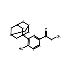 CCC(=O)c1ccc(O)c(C23CC4CC(CC(C4)C2)C3)c1